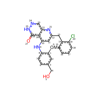 COc1cc(CO)ccc1Nc1cc(Cc2ccccc2Cl)nc2cn[nH]c(=O)c12